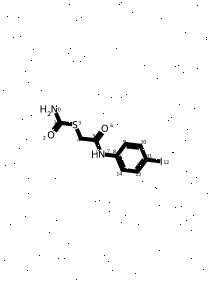 NC(=O)SCC(=O)Nc1ccc(I)cc1